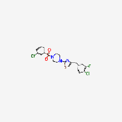 O=S(=O)(c1cccc(Cl)c1)N1CCN(c2nc(Cc3ccc(Cl)c(F)c3)cs2)CC1